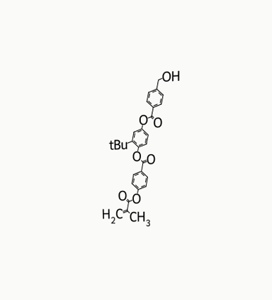 C=C(C)C(=O)Oc1ccc(C(=O)Oc2ccc(OC(=O)c3ccc(CO)cc3)cc2C(C)(C)C)cc1